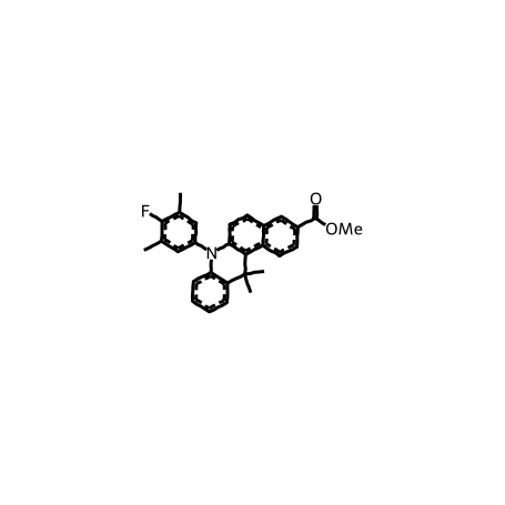 COC(=O)c1ccc2c3c(ccc2c1)N(c1cc(C)c(F)c(C)c1)c1ccccc1C3(C)C